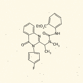 CCOC(=O)c1ccccc1NC(=O)N(C)C(C)c1nc2ccccc2c(=O)n1-c1ccc(F)cc1